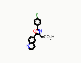 O=C(O)Cc1nc(-c2ccc(F)cc2)oc1-c1ccc2ncccc2c1